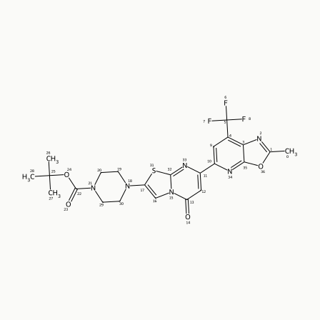 Cc1nc2c(C(F)(F)F)cc(-c3cc(=O)n4cc(N5CCN(C(=O)OC(C)(C)C)CC5)sc4n3)nc2o1